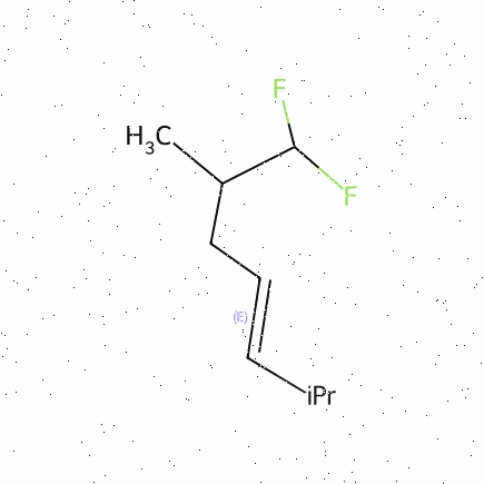 CC(C)/C=C/CC(C)C(F)F